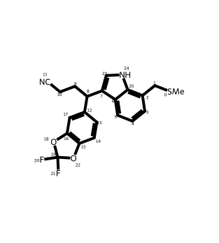 CSCc1cccc2c(C(CCC#N)c3ccc4c(c3)OC(F)(F)O4)c[nH]c12